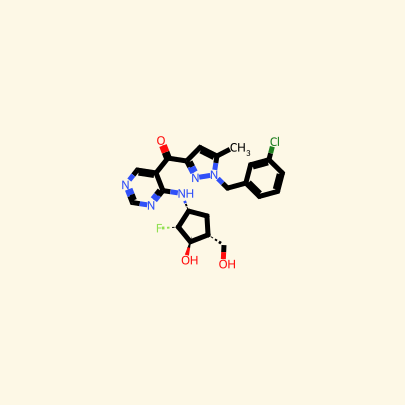 Cc1cc(C(=O)c2cncnc2N[C@@H]2C[C@H](CO)[C@@H](O)[C@@H]2F)nn1Cc1cccc(Cl)c1